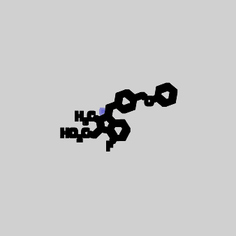 CC1=C(CC(=O)O)c2c(F)cccc2/C1=C\c1ccc(COc2ccccc2)cc1